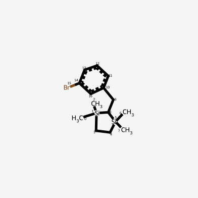 C[Si]1(C)CC[Si](C)(C)C1Cc1cccc(Br)c1